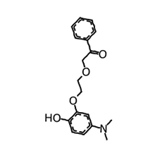 CN(C)c1ccc(O)c(OCCOCC(=O)c2ccccc2)c1